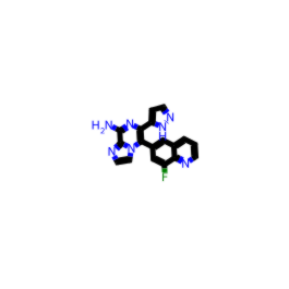 Nc1nc(-c2ccn[nH]2)c(-c2cc(F)c3ncccc3c2)n2ccnc12